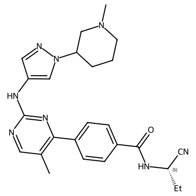 CC[C@@H](C#N)NC(=O)c1ccc(-c2nc(Nc3cnn(C4CCCN(C)C4)c3)ncc2C)cc1